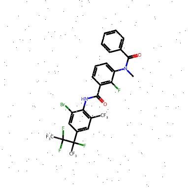 CN(C(=O)c1ccccc1)c1cccc(C(=O)Nc2c(Br)cc(C(F)(C(F)(F)F)C(F)(F)C(F)(F)F)cc2C(F)(F)F)c1F